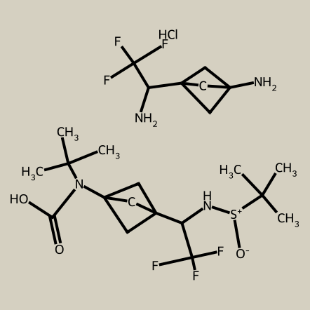 CC(C)(C)N(C(=O)O)C12CC(C(N[S+]([O-])C(C)(C)C)C(F)(F)F)(C1)C2.Cl.NC(C(F)(F)F)C12CC(N)(C1)C2